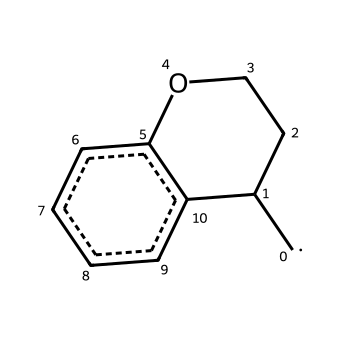 [CH2]C1CCOc2ccccc21